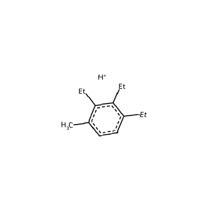 CCc1ccc(C)c(CC)c1CC.[H+]